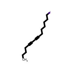 CCCCC#CC#CCCCCCCI